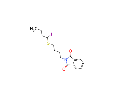 CCCC(I)SCCCCN1C(=O)c2ccccc2C1=O